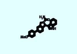 COc1ccc(-c2ccc3c(c2)CN(C(N)=O)C3c2c[nH]c3ccccc23)cc1